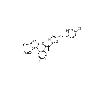 COc1c(-c2cc(C)ncc2C(=O)Nc2nnc(CCc3ccc(Cl)cn3)s2)ccnc1Cl